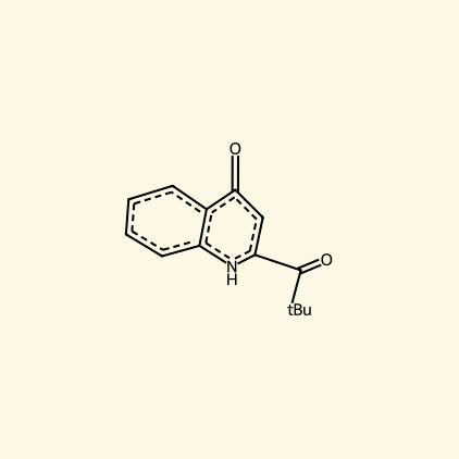 CC(C)(C)C(=O)c1cc(=O)c2ccccc2[nH]1